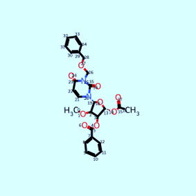 COC1C(OC(=O)c2ccccc2)[C@@H](OC(C)=O)O[C@H]1n1ccc(=O)n(COCc2ccccc2)c1=O